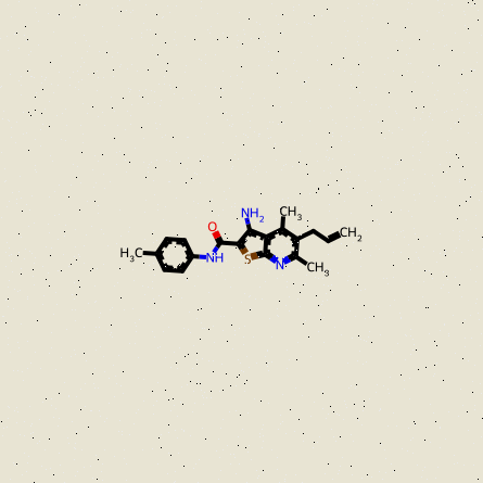 C=CCc1c(C)nc2sc(C(=O)Nc3ccc(C)cc3)c(N)c2c1C